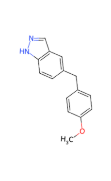 COc1ccc(Cc2ccc3[nH]ncc3c2)cc1